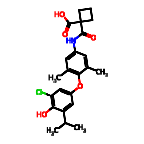 Cc1cc(NC(=O)C2(C(=O)O)CCC2)cc(C)c1Oc1cc(Cl)c(O)c(C(C)C)c1